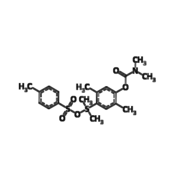 Cc1ccc(S(=O)(=O)OS(C)(C)c2cc(C)c(OC(=O)N(C)C)cc2C)cc1